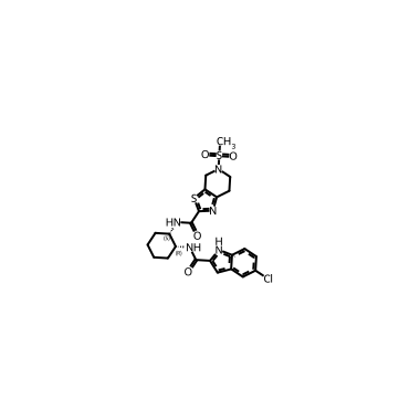 CS(=O)(=O)N1CCc2nc(C(=O)N[C@H]3CCCC[C@H]3NC(=O)c3cc4cc(Cl)ccc4[nH]3)sc2C1